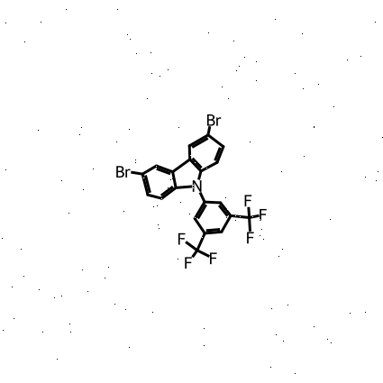 FC(F)(F)c1cc(-n2c3ccc(Br)cc3c3cc(Br)ccc32)cc(C(F)(F)F)c1